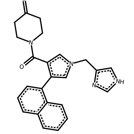 O=C1CCN(C(=O)c2cn(Cc3c[nH]cn3)cc2-c2cccc3ccccc23)CC1